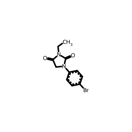 CCN1C(=O)CN(c2ccc(Br)cc2)C1=O